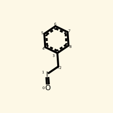 O=I[CH]c1ccccc1